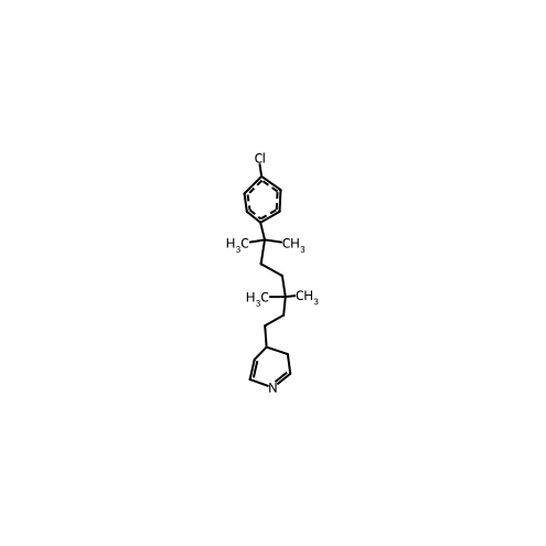 CC(C)(CCC1C=CN=CC1)CCC(C)(C)c1ccc(Cl)cc1